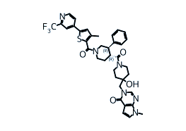 Cc1cc(-c2ccnc(C(F)(F)F)c2)sc1C(=O)N1CC[C@@H](C(=O)N2CCC(O)(Cn3cnc4c(ccn4C)c3=O)CC2)[C@H](c2ccccc2)C1